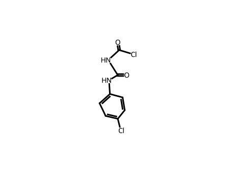 O=C(Cl)NC(=O)Nc1ccc(Cl)cc1